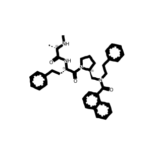 CN[C@@H](C)C(=O)N[C@@H](CCc1ccccc1)C(=O)N1CCC[C@H]1CN(CCc1ccccc1)C(=O)c1cccc2ccccc12